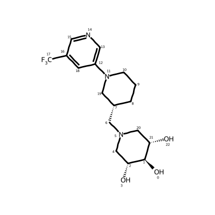 O[C@H]1[C@H](O)CN(C[C@H]2CCCN(c3cncc(C(F)(F)F)c3)C2)C[C@@H]1O